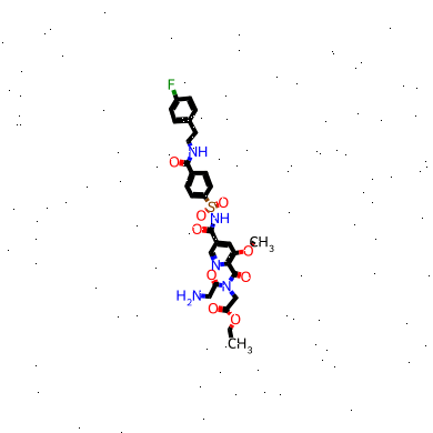 CCOC(=O)CN(C(=O)CN)C(=O)c1ncc(C(=O)NS(=O)(=O)c2ccc(C(=O)NCCc3ccc(F)cc3)cc2)cc1OC